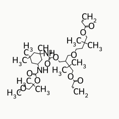 C=CC(=O)OCC(C)(C)CCOCC(COC(=O)NC1(C)CC(NC(=O)OC(C)(C)COC)CC(C)(C)C1)C(C)(C)COC(=O)C=C